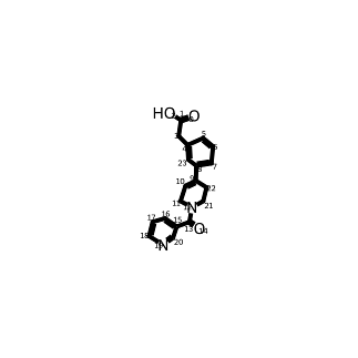 O=C(O)Cc1cccc(C2=CCN(C(=O)c3cccnc3)CC2)c1